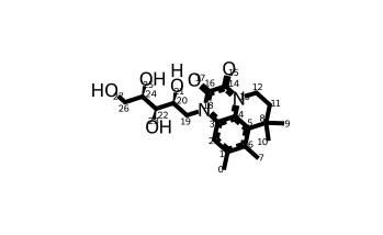 Cc1cc2c3c(c1C)C(C)(C)CCn3c(=O)c(=O)n2C[C@H](O)[C@@H](O)[C@H](O)CO